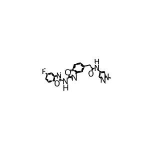 Cn1cc(NC(=O)Cc2ccc3oc(Nc4nc5cc(F)ccc5o4)nc3c2)cn1